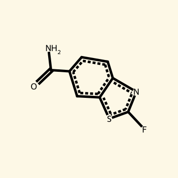 NC(=O)c1ccc2nc(F)sc2c1